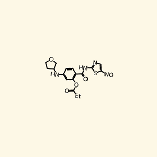 CCC(=O)Oc1cc(NC2CCOC2)ccc1C(=O)Nc1ncc(N=O)s1